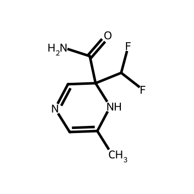 CC1=CN=CC(C(N)=O)(C(F)F)N1